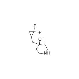 OC1(CC2CC2(F)F)CCNCC1